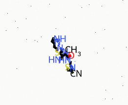 Cn1c(C(=O)NCc2nc(C#N)cs2)c(C=N)c2sc(Cc3cc[nH]n3)nc21